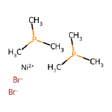 CP(C)C.CP(C)C.[Br-].[Br-].[Ni+2]